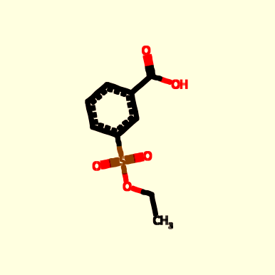 CCOS(=O)(=O)c1cccc(C(=O)O)c1